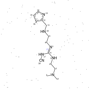 CN(C)CCN/C(=N/CCNCc1nccs1)NC#N